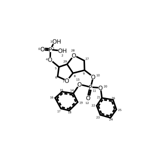 O=P(O)(O)OC1COC2C(OP(=O)(Oc3ccccc3)Oc3ccccc3)COC12